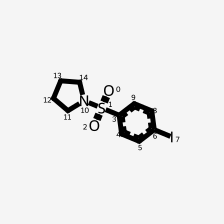 O=S(=O)(c1ccc(I)cc1)N1CCCC1